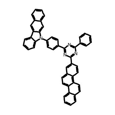 c1ccc(-c2nc(-c3ccc(-n4c5ccccc5c5cc6ccccc6cc54)cc3)nc(-c3ccc4c(ccc5c6ccccc6ccc45)c3)n2)cc1